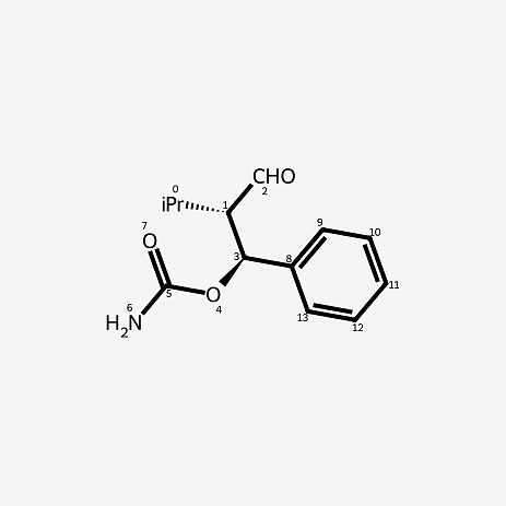 CC(C)[C@H](C=O)[C@H](OC(N)=O)c1ccccc1